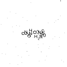 Nc1c(N2CCc3ccc(CNC(=O)c4cnc5ccccc5c4)cc3C2)c(=O)c1=O